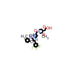 COC1CN(C(=O)c2cc3nc(-c4cc(F)c(F)c(F)c4)cc(N(C)c4c(C)cccc4C)n3n2)CCC1CC(=O)O